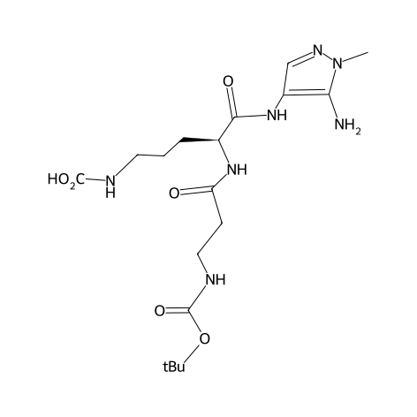 Cn1ncc(NC(=O)[C@H](CCCNC(=O)O)NC(=O)CCNC(=O)OC(C)(C)C)c1N